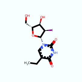 CCc1cn([C@@H]2O[C@H](CO)[C@@H](O)[C@H]2I)c(=O)[nH]c1=O